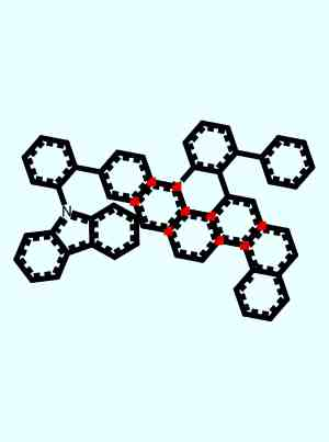 c1ccc(-c2ccccc2-c2c(-c3ccccc3)cccc2N(c2ccc(-c3ccccc3-n3c4ccccc4c4ccccc43)cc2)c2cccc(-c3cccc4ccccc34)c2)cc1